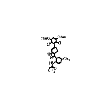 C=CC(=O)NC1=C(c2n[nH]c3c2CCC(c2c(Cl)c(OC)cc(OC)c2Cl)=C3)C[C@H](C)C=C1